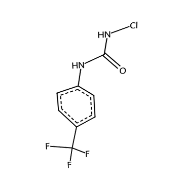 O=C(NCl)Nc1ccc(C(F)(F)F)cc1